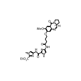 CCOC(=O)c1nc(NC(=O)c2nc(NC(=O)CCCOc3cc4c(cc3OC)C(=O)N3CCC[C@H]3C=N4)cn2C)cn1C